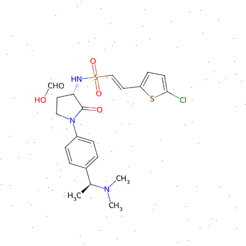 C[C@@H](c1ccc(N2CC[C@H](NS(=O)(=O)C=Cc3ccc(Cl)s3)C2=O)cc1)N(C)C.O=CO